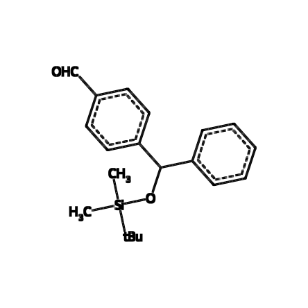 CC(C)(C)[Si](C)(C)OC(c1ccccc1)c1ccc(C=O)cc1